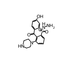 NNS(=O)(=O)c1cccc(N2CCNCC2)c1C(=O)c1ccc(O)cc1